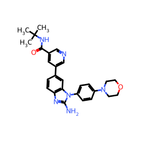 CC(C)(C)NC(=O)c1cncc(-c2ccc3nc(N)n(-c4ccc(N5CCOCC5)cc4)c3c2)c1